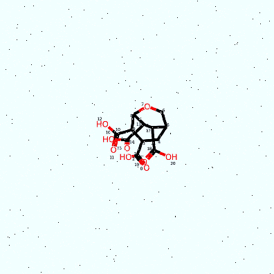 O=C(O)C1CC2COC(C1C(=O)O)C(C(=O)O)C2C(=O)O